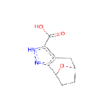 O=C(O)c1[nH]nc2c1CC1CCC2O1